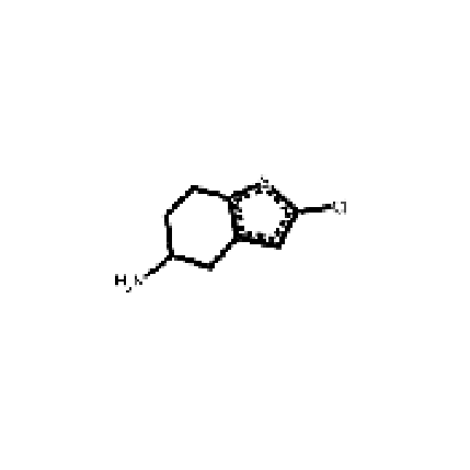 NC1CCc2sc(Cl)cc2C1